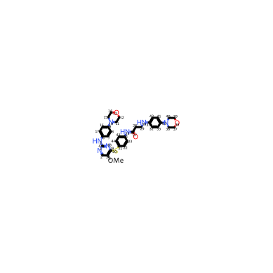 COc1cnc(Nc2ccc(N3CCOCC3)cc2)nc1Sc1ccc(NC(=O)CCNc2ccc(N3CCOCC3)cc2)cc1